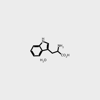 NC(Cc1c[nH]c2ccccc12)C(=O)O.O